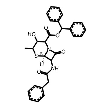 CC1S[C@@H]2C(NC(=O)Cc3ccccc3)C(=O)N2C(C(=O)OC(c2ccccc2)c2ccccc2)C1O